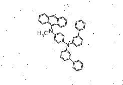 CN(c1ccc(N(c2cccc(-c3ccccc3)c2)c2cccc(-c3ccccc3)c2)cc1)c1c2ccccc2cc2ccccc12